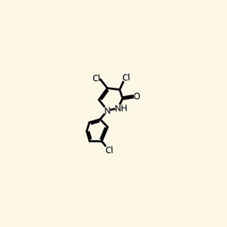 O=C1NN(c2cccc(Cl)c2)C=C(Cl)C1Cl